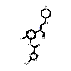 N=C/C(=C\NC1CCNCC1)c1ccc(Cl)c(NC(=O)c2coc(N)n2)c1